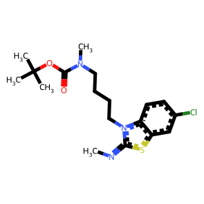 CN=c1sc2cc(Cl)ccc2n1CCCCN(C)C(=O)OC(C)(C)C